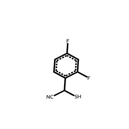 N#CC(S)c1ccc(F)cc1F